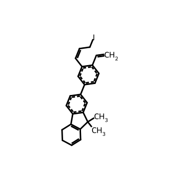 C=Cc1ccc(-c2ccc3c(c2)C(C)(C)C2=C3CCC=C2)cc1/C=C\CI